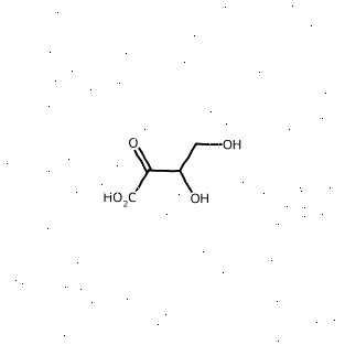 O=C(O)C(=O)C(O)CO